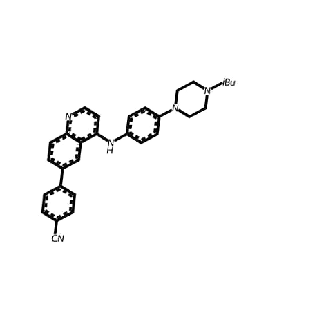 CCC(C)N1CCN(c2ccc(Nc3ccnc4ccc(-c5ccc(C#N)cc5)cc34)cc2)CC1